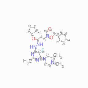 Cc1nc(NNC(=O)[C@H](CC2CCCC2)CN(C=O)OCc2ccccc2)c(F)c(N2CCN(C)[C@@H](C)C2)n1